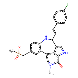 Cn1cc2c3c(c[nH]c3c1=O)C(/C=C/c1ccc(F)cc1)Nc1ccc(CS(C)(=O)=O)cc1-2